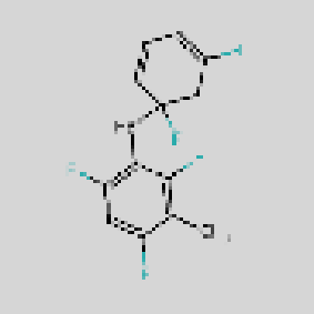 Cc1c(F)cc(F)c(BC2(F)C=CC=C(F)C2)c1F